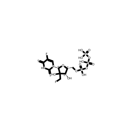 O=P(O)(O)OP(=O)(O)OP(=O)(O)OC[C@H]1O[C@@H](n2cc(F)c(=S)[nH]c2=S)C(O)(CF)[C@H]1O